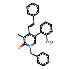 Cc1c(C=Cc2ccccc2)c(-c2ccccc2C(=O)O)cn(Cc2ccccc2)c1=O